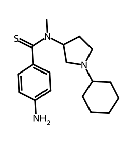 CN(C(=S)c1ccc(N)cc1)C1CCN(C2CCCCC2)C1